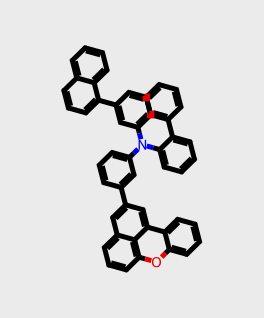 c1ccc(-c2ccccc2N(c2cccc(-c3cc4c5c(cccc5c3)Oc3ccccc3-4)c2)c2cccc(-c3cccc4ccccc34)c2)cc1